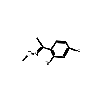 CON=C(C)c1ccc(F)cc1Br